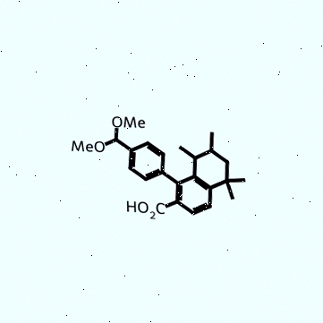 COC(OC)c1ccc(-c2c(C(=O)O)ccc3c2C(C)C(C)CC3(C)C)cc1